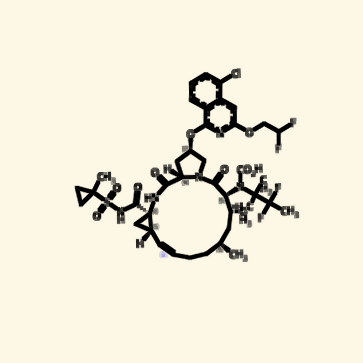 C[C@H]1CC/C=C\[C@@H]2C[C@@]2(C(=O)NS(=O)(=O)C2(C)CC2)NC(=O)[C@@H]2C[C@@H](Oc3nc(OCC(F)F)cc4c(Cl)cccc34)CN2C(=O)[C@@H](N(C(=O)O)C(C)(C)C(C)(F)F)[C@H](C)C1